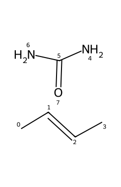 CC=CC.NC(N)=O